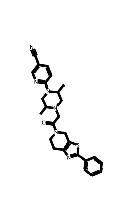 CC1CN(c2ccc(C#N)cn2)C(C)CN1CC(=O)N1CCc2nc(-c3ccccc3)sc2C1